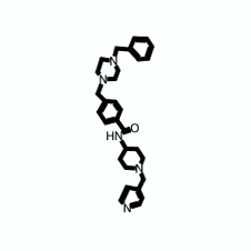 O=C(NC1CCN(Cc2ccncc2)CC1)c1ccc(CN2CCN(Cc3ccccc3)CC2)cc1